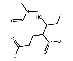 CN(C)C=O.O=C(O)CCC(C(O)CF)[N+](=O)[O-]